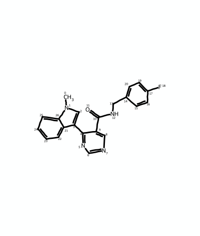 Cn1cc(-c2ncncc2C(=O)NCc2ccc(F)cc2)c2ccccc21